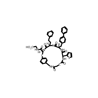 O=C(O)CNC(=O)[C@@H]1Cc2ccc(cc2)NC(=O)CCC(=O)NC(c2cccs2)C(=O)N[C@@H](Cc2ccc(-c3ccccc3)cc2)C(=O)N[C@H](CCc2ccccc2)C(=O)N1